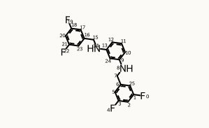 Fc1cc(F)cc(CNc2cccc(NCc3cc(F)cc(F)c3)c2)c1